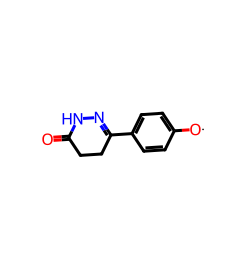 [O]c1ccc(C2=NNC(=O)CC2)cc1